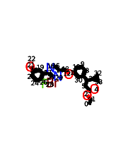 CCOC(=O)CC(c1cccc(OCc2cnc(-c3cc(OC)ccc3F)c(Br)n2)c1)C1CC1